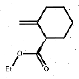 C=C1CCCC[C@H]1C(=O)OCC